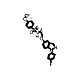 C[C@@H](COc1ccc2c(cnn2-c2ccc(F)cc2)c1)NS(=O)(=O)c1ccc(OC(F)(F)F)cc1